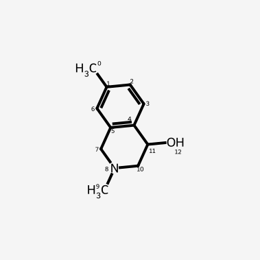 Cc1ccc2c(c1)CN(C)CC2O